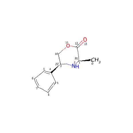 C[C@H]1N[C@@H](c2ccccc2)COC1=O